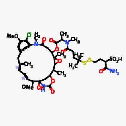 COc1cc2cc(c1Cl)N(C)C(=O)CC(OC(=O)C(C)N(C)C(=O)CCC(C)(C)SSCCC(C(N)=O)S(=O)(=O)O)C1(C)OC1C(C)C1CC(O)(NC(=O)O1)C(OC)/C=C/C=C(\C)C2